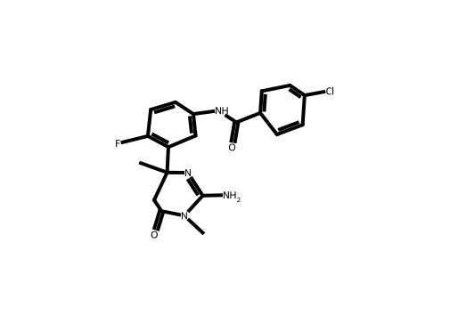 CN1C(=O)CC(C)(c2cc(NC(=O)c3ccc(Cl)cc3)ccc2F)N=C1N